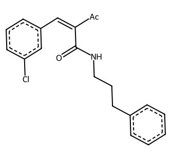 CC(=O)C(=Cc1cccc(Cl)c1)C(=O)NCCCc1ccccc1